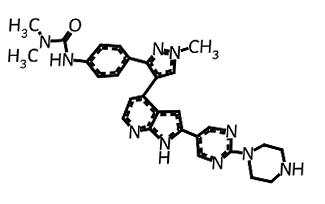 CN(C)C(=O)Nc1ccc(-c2nn(C)cc2-c2ccnc3[nH]c(-c4cnc(N5CCNCC5)nc4)cc23)cc1